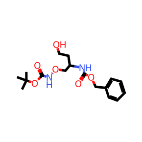 CC(C)(C)OC(=O)NOCC(CCO)NC(=O)OCc1ccccc1